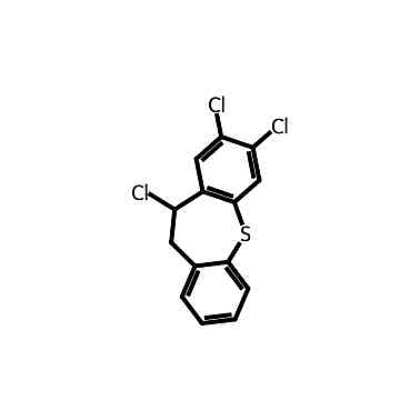 Clc1cc2c(cc1Cl)C(Cl)Cc1ccccc1S2